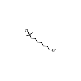 C[Si](C)(Cl)CCCCCCCBr